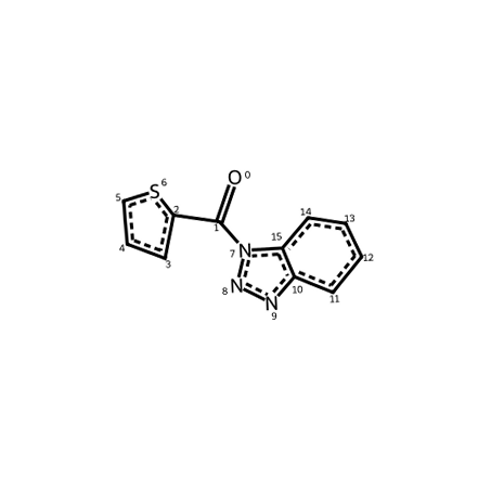 O=C(c1cccs1)n1nnc2ccccc21